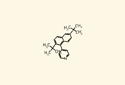 CC(C)(C)c1ccc2c(-c3ccncc3)c(C(C)(C)C)ccc2c1